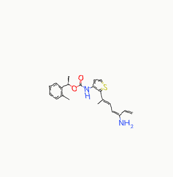 C=C/C(N)=C\C=C(/C)c1sccc1NC(=O)O[C@H](C)c1ccccc1C